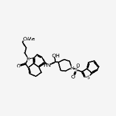 COCCCN1C(=O)C2=CCCc3c(NC(O)C4CCN(S(=O)(=O)c5csc6ccccc56)CC4)ccc1c32